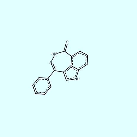 O=C1NN=C(c2ccccc2)c2c[nH]c3cccc1c23